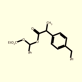 CCOC(=O)OC(OC(=O)C(C)c1ccc(CC(C)C)cc1)C(C)C